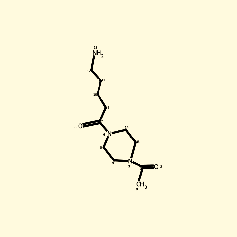 CC(=O)N1CCN(C(=O)CCCCN)CC1